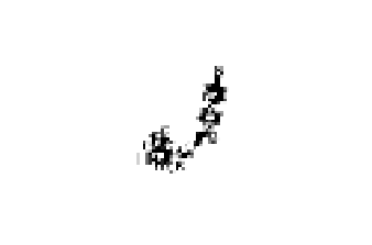 COC[C@@H](COCCC(=O)N1CCN(c2ccc(C#N)cn2)CC1)Oc1cn[nH]c(=O)c1C(F)(F)F